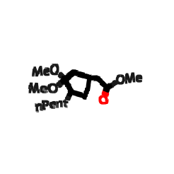 CCCCCC1CC(CC(=O)OC)CC1(OC)OC